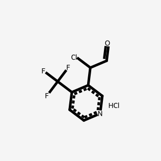 Cl.O=CC(Cl)c1cnccc1C(F)(F)F